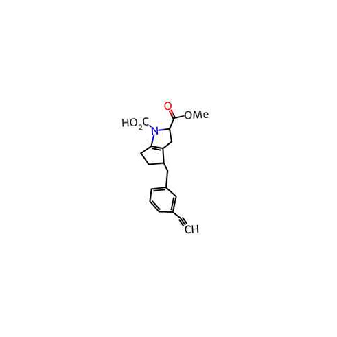 C#Cc1cccc(CC2CCC3=C2CC(C(=O)OC)N3C(=O)O)c1